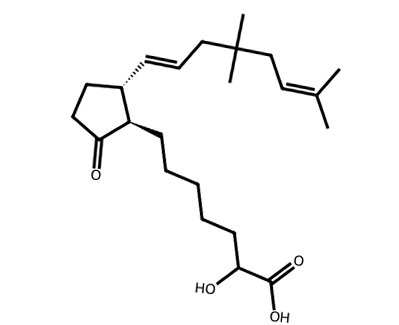 CC(C)=CCC(C)(C)CC=C[C@H]1CCC(=O)[C@@H]1CCCCCC(O)C(=O)O